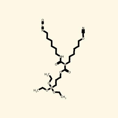 CCO[Si](CCCOC(=O)N(CCCCCCOC#N)C(=O)NCCCCCCN=C=O)(OCC)OCC